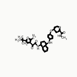 CNC(=O)c1cc(Oc2ccc(Nc3ccc(NC(=O)C(=O)c4cc(C(C)(C)C)oc4C)c4ccccc34)cc2)ccn1